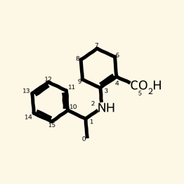 CC(NC1=C(C(=O)O)CCCC1)c1ccccc1